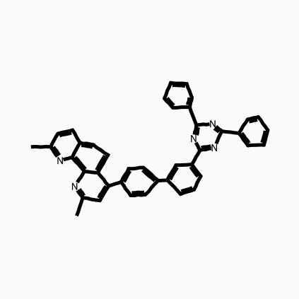 Cc1ccc2ccc3c(-c4ccc(-c5cccc(-c6nc(-c7ccccc7)nc(-c7ccccc7)n6)c5)cc4)cc(C)nc3c2n1